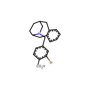 O=C(O)c1ccc(CN2CC3CCC2Cc2ccccc2C3)cc1Br